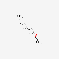 C=CCO[C@H]1CC[C@H]([C@H]2CC[C@H](CCCC)CC2)CC1